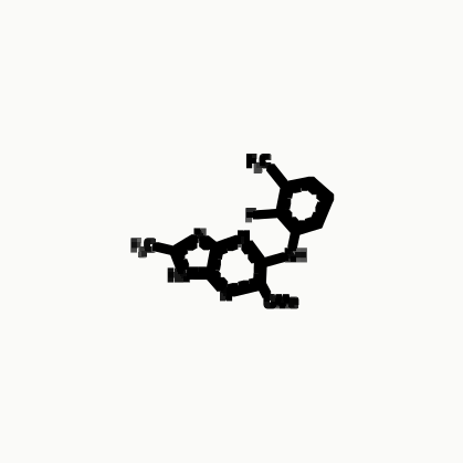 COc1nc2[nH]c(C(F)(F)F)nc2nc1Nc1cccc(C(F)(F)F)c1F